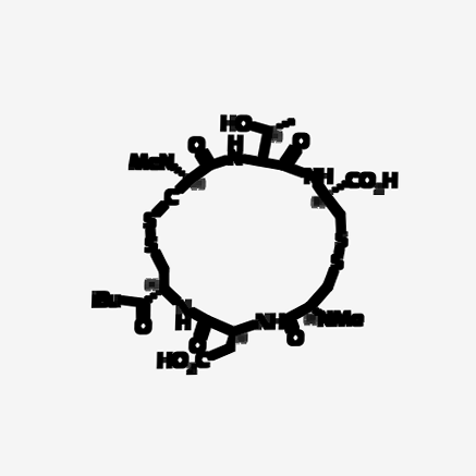 CCC(C)C(=O)[C@@H]1CSSC[C@H](NC)C(=O)NC([C@@H](C)O)C(=O)N[C@H](C(=O)O)CSSC[C@H](NC)C(=O)N[C@@H](CC(=O)O)C(=O)N1